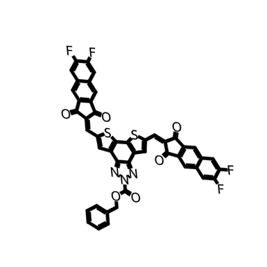 O=C1C(=Cc2cc3c4nn(C(=O)OCc5ccccc5)nc4c4cc(C=C5C(=O)c6cc7cc(F)c(F)cc7cc6C5=O)sc4c3s2)C(=O)c2cc3cc(F)c(F)cc3cc21